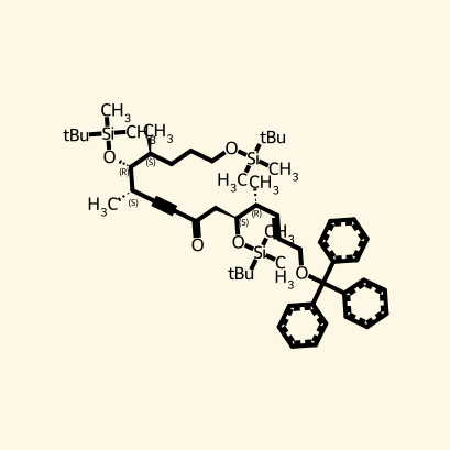 C[C@H](C=CCOC(c1ccccc1)(c1ccccc1)c1ccccc1)[C@H](CC(=O)C#C[C@H](C)[C@H](O[Si](C)(C)C(C)(C)C)[C@@H](C)CCCO[Si](C)(C)C(C)(C)C)O[Si](C)(C)C(C)(C)C